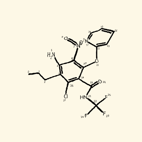 CCCc1c(N)c([N+](=O)[O-])c(Oc2ccccn2)c(C(=O)NC(F)(F)F)c1Cl